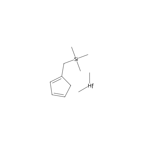 C[Si](C)(C)CC1=CC=CC1.[CH3][Hf][CH3]